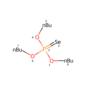 CCCCOP(=[Se])(OCCCC)OCCCC